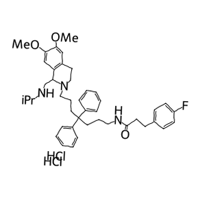 COc1cc2c(cc1OC)C(CNC(C)C)N(CCCC(CCCNC(=O)CCc1ccc(F)cc1)(c1ccccc1)c1ccccc1)CC2.Cl.Cl